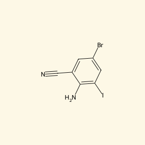 N#Cc1cc(Br)cc(I)c1N